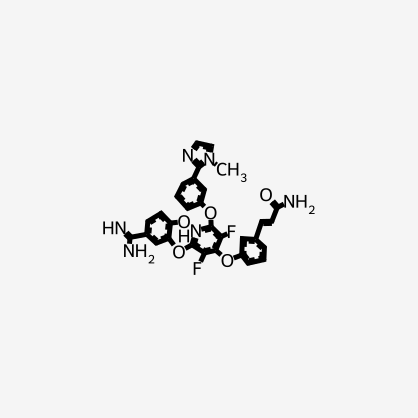 Cn1ccnc1-c1cccc(Oc2nc(Oc3cc(C(=N)N)ccc3O)c(F)c(Oc3cccc(C=CC(N)=O)c3)c2F)c1